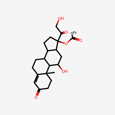 CCCC(=O)OC1(C(=O)CO)CCC2C3CCC4=CC(=O)CCC4(C)C3C(O)CC21